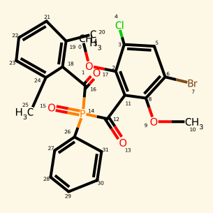 COc1c(Cl)cc(Br)c(OC)c1C(=O)P(=O)(C(=O)c1c(C)cccc1C)c1ccccc1